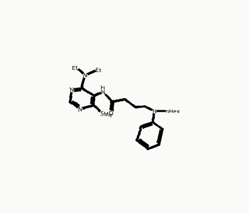 CCCCCCN(CCCC(=O)Nc1c(SC)ncnc1N(CC)CC)c1ccccc1